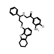 Nc1cc(C(=O)CNC(CCOc2cccc3c4c(oc23)CCCC4)c2ccccc2)ccc1Cl